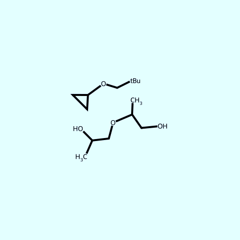 CC(C)(C)COC1CC1.CC(O)COC(C)CO